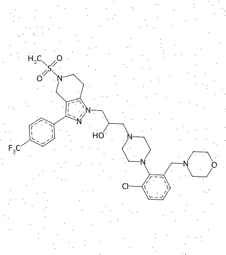 CS(=O)(=O)N1CCc2c(c(-c3ccc(C(F)(F)F)cc3)nn2CC(O)CN2CCN(c3c(Cl)cccc3CN3CCOCC3)CC2)C1